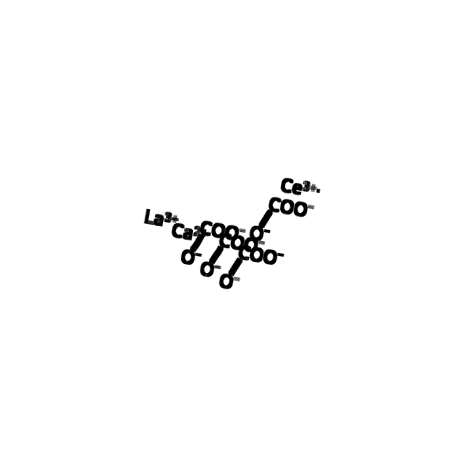 O=C([O-])[O-].O=C([O-])[O-].O=C([O-])[O-].O=C([O-])[O-].[Ca+2].[Ce+3].[La+3]